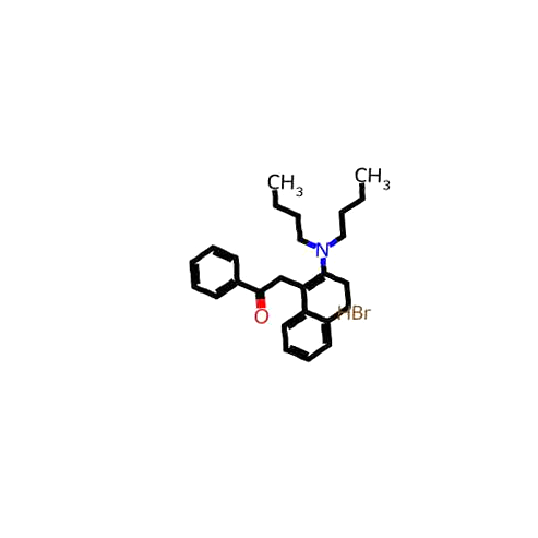 Br.CCCCN(CCCC)C1=C(CC(=O)c2ccccc2)c2ccccc2CC1